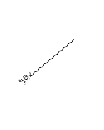 CCCCCCCCCCCCCCCCCCNOP(=O)(O)O